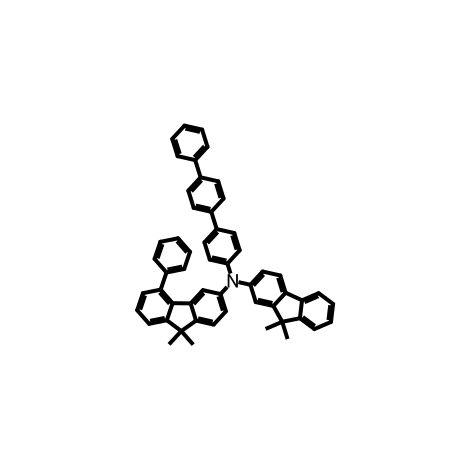 CC1(C)c2ccccc2-c2ccc(N(c3ccc(-c4ccc(-c5ccccc5)cc4)cc3)c3ccc4c(c3)-c3c(-c5ccccc5)cccc3C4(C)C)cc21